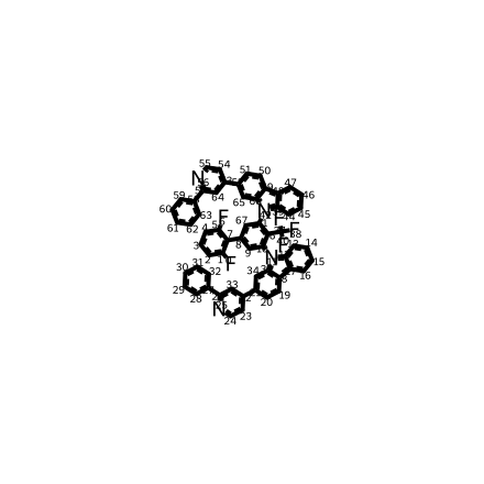 Fc1cccc(F)c1-c1cc(-n2c3ccccc3c3ccc(-c4ccnc(-c5ccccc5)c4)cc32)c(C(F)(F)F)c(-n2c3ccccc3c3ccc(-c4ccnc(-c5ccccc5)c4)cc32)c1